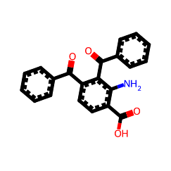 Nc1c(C(=O)O)ccc(C(=O)c2ccccc2)c1C(=O)c1ccccc1